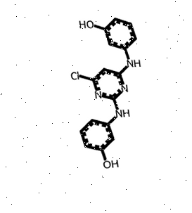 Oc1cccc(Nc2cc(Cl)nc(Nc3cccc(O)c3)n2)c1